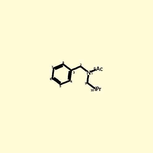 CC(=O)N(Cc1cc[c]cc1)CC(C)C